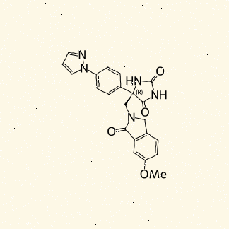 COc1ccc2c(c1)C(=O)N(C[C@@]1(c3ccc(-n4cccn4)cc3)NC(=O)NC1=O)C2